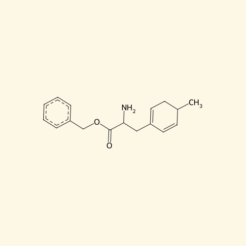 CC1C=CC(CC(N)C(=O)OCc2ccccc2)=CC1